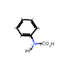 CC(C)N(C(=O)O)c1ccccc1